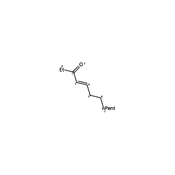 [CH2]CC(=O)C=CCCCCCCC